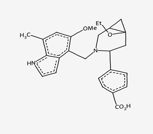 CCOC12CC(c3ccc(C(=O)O)cc3)N(Cc3c(OC)cc(C)c4[nH]ccc34)CC1C2